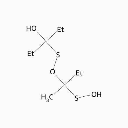 CCC(O)(CC)SOC(C)(CC)SO